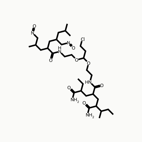 CCC(CC(CC(C(N)=O)C(C)CC)C(=O)NCCOC(CCCl)OCCNC(=O)C(CC(C)CN=O)CC(CN=O)CC(C)C)C(N)=O